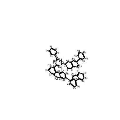 C1=CC(c2nc(-c3ccccc3)nc(-c3cccc4oc5cc(-c6cccc7c6sc6ccccc67)ccc5c34)n2)Cc2cc(-c3ccccc3)ccc21